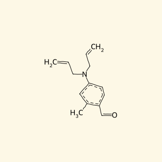 C=CCN(CC=C)c1ccc(C=O)c(C)c1